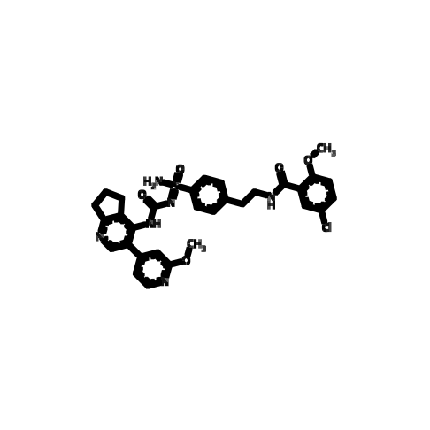 COc1cc(-c2cnc3c(c2NC(=O)N=S(N)(=O)c2ccc(CCNC(=O)c4cc(Cl)ccc4OC)cc2)CCC3)ccn1